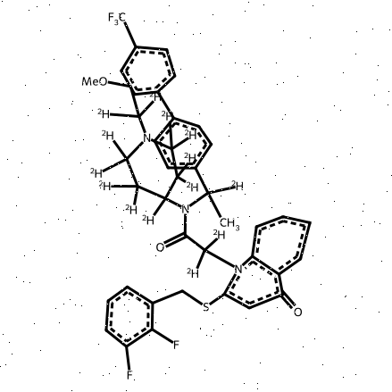 [2H]C([2H])(COC)N1C([2H])([2H])C([2H])([2H])C([2H])(N(C(=O)C([2H])([2H])n2c(SCc3cccc(F)c3F)cc(=O)c3ccccc32)C([2H])(C)c2ccc(-c3ccc(C(F)(F)F)cc3)cc2)C([2H])([2H])C1([2H])[2H]